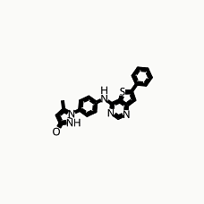 Cc1cc(=O)[nH]n1-c1ccc(Nc2ncnc3cc(-c4ccccc4)sc23)cc1